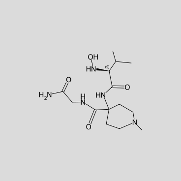 CC(C)[C@H](NO)C(=O)NC1(C(=O)NCC(N)=O)CCN(C)CC1